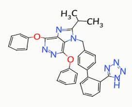 CC(C)c1nc2c(Oc3ccccc3)nnc(Oc3ccccc3)c2n1Cc1ccc(-c2ccccc2-c2nnn[nH]2)cc1